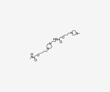 CNC(=O)COCCCCN1CCN(CCNC(=O)COCCCN2CCN(C)CC2)CC1